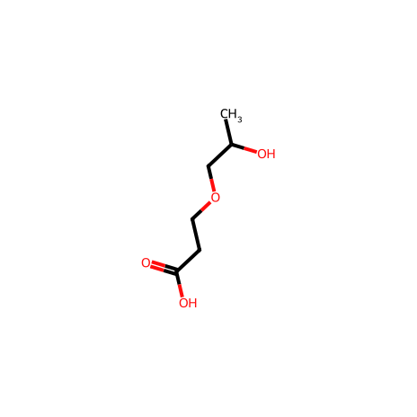 CC(O)COCCC(=O)O